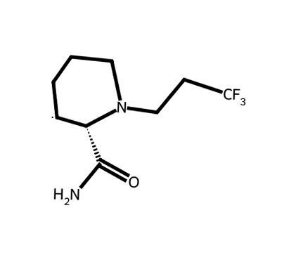 NC(=O)[C@@H]1[CH]CCCN1CCC(F)(F)F